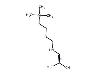 C/C(C#N)=C\NCOCC[Si](C)(C)C